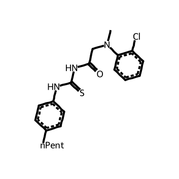 CCCCCc1ccc(NC(=S)NC(=O)CN(C)c2ccccc2Cl)cc1